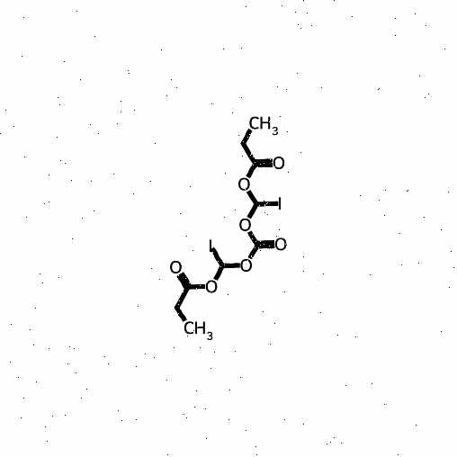 CCC(=O)OC(I)OC(=O)OC(I)OC(=O)CC